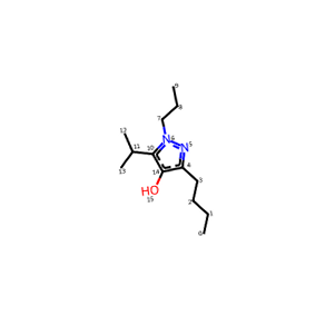 CCCCc1nn(CCC)c(C(C)C)c1O